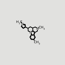 Cc1ccc2c(c1)c1c3n2CC(c2ccn(C)c2)CC3CN(C)C1